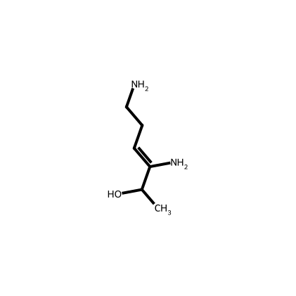 CC(O)C(N)=CCCN